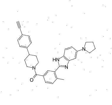 C#Cc1ccc(C2CCN(C(=O)c3ccc(C)c(-c4nc5cc(N6CCCC6)ccc5[nH]4)c3)CC2)cc1